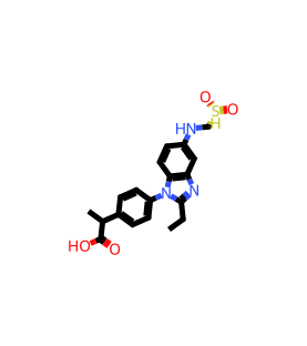 CCc1nc2cc(NC[SH](=O)=O)ccc2n1-c1ccc(C(C)C(=O)O)cc1